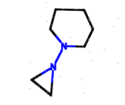 C1CCN(N2CC2)CC1